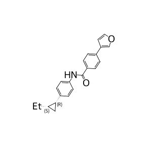 CC[C@H]1C[C@H]1c1ccc(NC(=O)c2ccc(-c3ccoc3)cc2)cc1